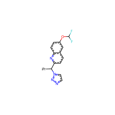 CC(C)C(c1ccc2cc(OC(F)F)ccc2n1)n1ccnn1